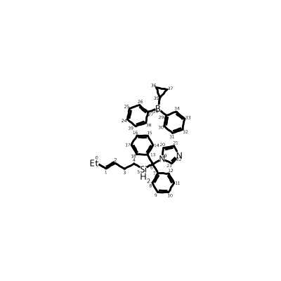 CCC=CCC[SiH2]C(c1ccccc1)(c1ccccc1)n1ccnc1.c1ccc(B(c2ccccc2)C2CC2)cc1